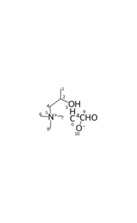 C.CC(O)C[N+](C)(C)C.O=C[O-]